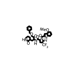 COc1cccc2[nH]c(C(=O)N3CC(C(F)(F)F)CC3C(=O)NC(CC3CCCNC3=O)C(=O)COCc3ccccc3)cc12